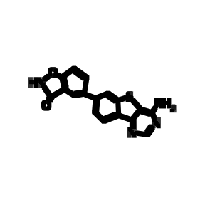 Nc1ncnc2c1sc1cc(-c3ccc4o[nH]c(=O)c4c3)ccc12